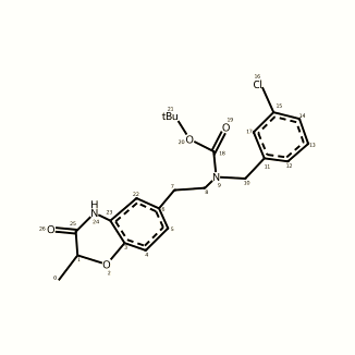 CC1Oc2ccc(CCN(Cc3cccc(Cl)c3)C(=O)OC(C)(C)C)cc2NC1=O